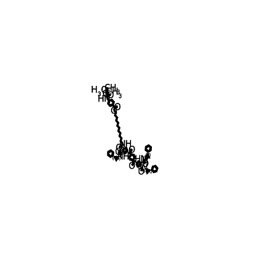 CC(C)(C)OC(=O)Nc1ccc(C(=O)OCCCCCCCCCCCCNC(=O)[C@@H]2CN(C(=O)c3ccc(C(=O)N4C[C@@H](C(=O)N[C@H]5C[C@@H]5c5ccccc5)[C@H](C(=O)N[C@H]5C[C@@H]5c5ccccc5)C4)cc3)C[C@H]2C(=O)N[C@H]2C[C@@H]2c2ccccc2)cc1